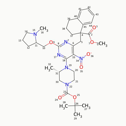 COC(=O)C1(Cc2nc(OCC3CCCN3C)nc(N3CCN(C(=O)OC(C)(C)C)C[C@@H]3C)c2[N+](=O)[O-])CCCc2ccccc21